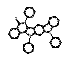 O=c1c2ccccc2c2c(c3cc4c5ccccc5n(-c5ccccc5)c4cc3n2-c2ccccc2)n1-c1ccccc1